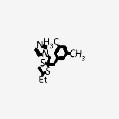 CCC1CSC(Cc2cc(C)cc(C)c2)(Cn2ccnc2)S1